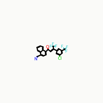 N#Cc1ccc(C(=O)C=C(c2cc(Cl)cc(C(F)(F)F)c2)C(F)(F)F)c2ccccc12